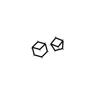 C1CC2CC(C1)C2.C1CC2CC1C2